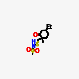 CCC1CCC(C)(CSNS(C)(=O)=O)C(=O)C1